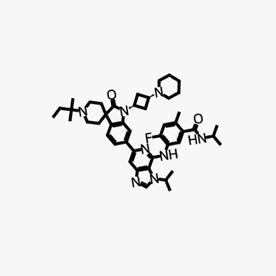 CCC(C)(C)N1CCC2(CC1)C(=O)N([C@H]1C[C@@H](N3CCCCC3)C1)c1cc(-c3cc4ncn(C(C)C)c4c(Nc4cc(C(=O)NC(C)C)c(C)cc4F)n3)ccc12